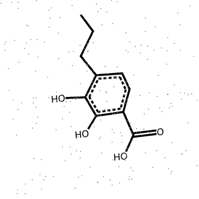 CCCc1ccc(C(=O)O)c(O)c1O